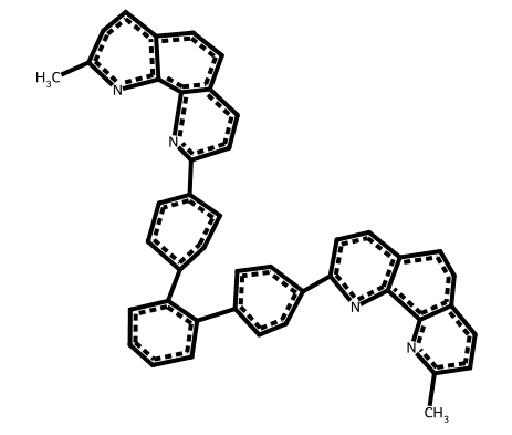 Cc1ccc2ccc3ccc(-c4ccc(-c5ccccc5-c5ccc(-c6ccc7ccc8ccc(C)nc8c7n6)cc5)cc4)nc3c2n1